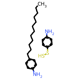 CCCCCCCCCCCCc1ccc(N)cc1.Nc1ccc(SS)cc1